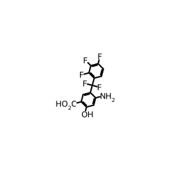 Nc1cc(O)c(C(=O)O)cc1C(F)(F)c1ccc(F)c(F)c1F